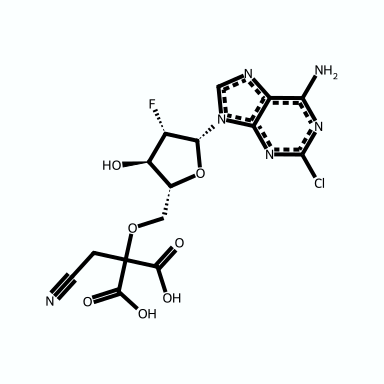 N#CCC(OC[C@H]1O[C@@H](n2cnc3c(N)nc(Cl)nc32)[C@@H](F)[C@@H]1O)(C(=O)O)C(=O)O